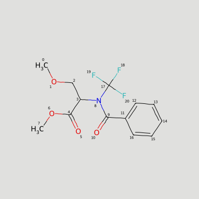 COCC(C(=O)OC)N(C(=O)c1ccccc1)C(F)(F)F